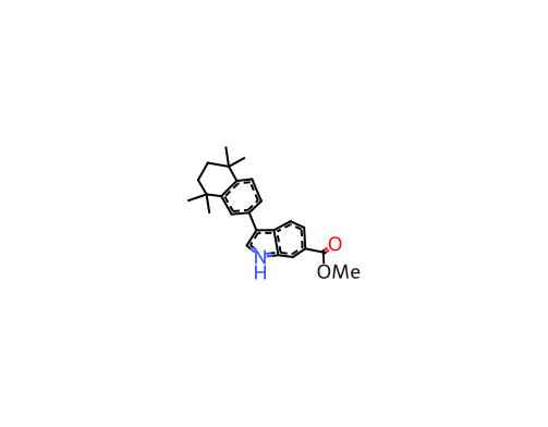 COC(=O)c1ccc2c(-c3ccc4c(c3)C(C)(C)CCC4(C)C)c[nH]c2c1